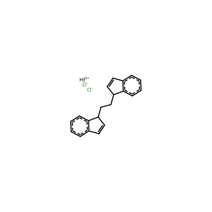 C1=CC(CCC2C=Cc3ccccc32)c2ccccc21.[Cl-].[Cl-].[Hf+2]